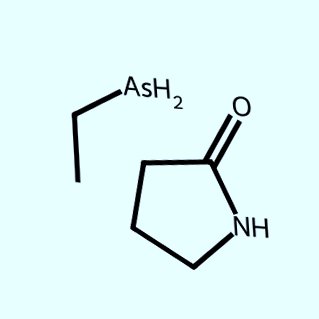 CC[AsH2].O=C1CCCN1